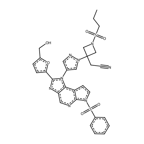 CCCS(=O)(=O)N1CC(CC#N)(n2cc(-n3c(-c4ccc(CO)o4)nc4cnc5c(ccn5S(=O)(=O)c5ccccc5)c43)cn2)C1